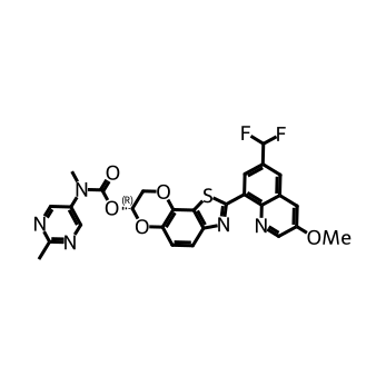 COc1cnc2c(-c3nc4ccc5c(c4s3)OC[C@@H](OC(=O)N(C)c3cnc(C)nc3)O5)cc(C(F)F)cc2c1